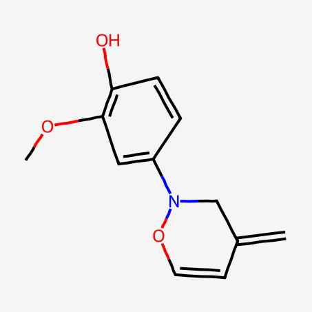 C=C1C=CON(c2ccc(O)c(OC)c2)C1